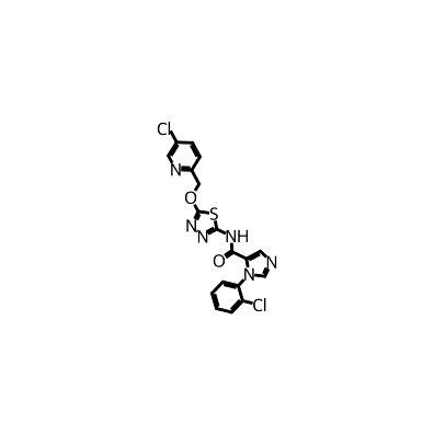 O=C(Nc1nnc(OCc2ccc(Cl)cn2)s1)c1cncn1-c1ccccc1Cl